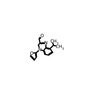 CC(C)c1cccc2c1N=C(C=O)CN2c1ccco1